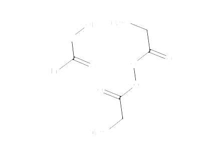 CCCC(=O)OO.CCCCCCCCCCCC(=O)OOC(=O)CCCCCCCCCCC